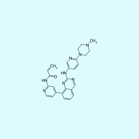 C=CC(=O)Nc1cc(-c2cccc3cnc(Nc4ccc(N5CCN(C)CC5)nc4)nc23)ccn1